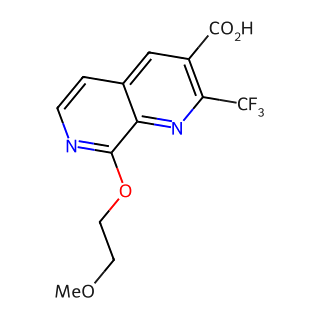 COCCOc1nccc2cc(C(=O)O)c(C(F)(F)F)nc12